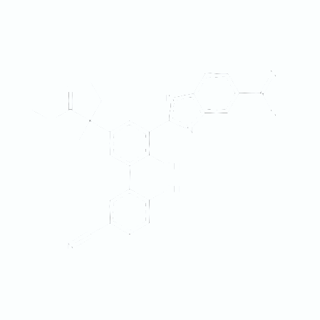 CCC(C)(C(=O)OC)c1cc(-c2nc3cc(C(=N)N)ccc3[nH]2)c(O)c(-c2cc(C#N)ccc2O)c1